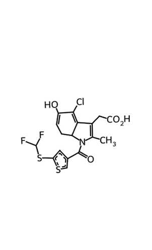 CC1=C(CC(=O)O)C2=C(Cl)C(O)=CCC2N1C(=O)c1csc(SC(F)F)c1